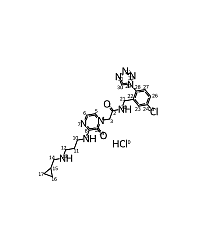 Cl.O=C(Cn1ccnc(NCCCNCC2CC2)c1=O)NCc1cc(Cl)ccc1-n1cnnn1